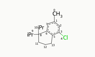 Cc1cc(Cl)c2c(c1)C(C(C)C)(C(C)C)CCC2